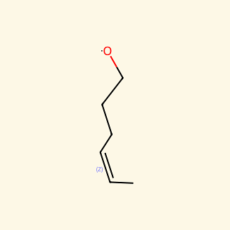 C/C=C\CCC[O]